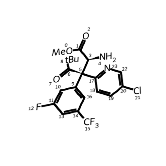 COC(=O)[C@@H](N)[C@@](C(=O)C(C)(C)C)(c1cc(F)cc(C(F)(F)F)c1)c1ccc(Cl)cn1